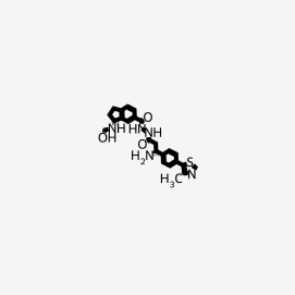 Cc1ncsc1-c1ccc([C@@H](N)CC(=O)NNC(=O)c2ccc3c(c2)[C@H](NCO)CC3)cc1